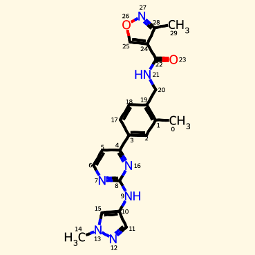 Cc1cc(-c2ccnc(Nc3cnn(C)c3)n2)ccc1CNC(=O)c1conc1C